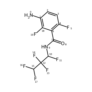 Nc1ccc(F)c(C(=O)NC(F)C(F)(F)C(F)F)c1F